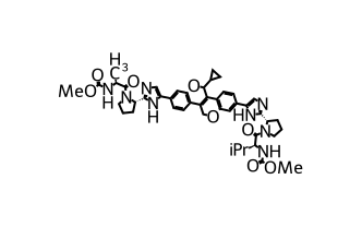 COC(=O)N[C@@H](C)C(=O)N1CCC[C@H]1c1ncc(-c2ccc3c(c2)OC(C2CC2)C2=C3COc3cc(-c4cnc([C@@H]5CCCN5C(=O)[C@@H](NC(=O)OC)C(C)C)[nH]4)ccc32)[nH]1